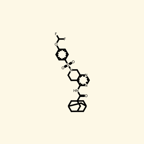 O=C(Nc1ncnc2c1CCN(S(=O)(=O)c1ccc(OC(F)F)cc1)C2)C12CC3CC(CC(C3)C1)C2